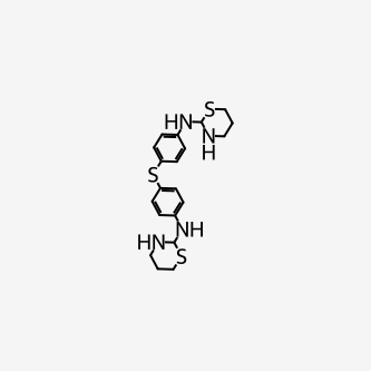 c1cc(Sc2ccc(NC3NCCCS3)cc2)ccc1NC1NCCCS1